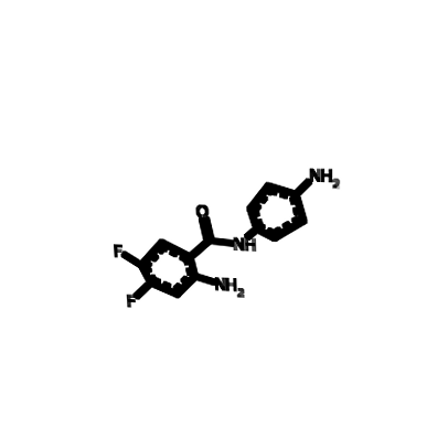 Nc1ccc(NC(=O)c2cc(F)c(F)cc2N)cc1